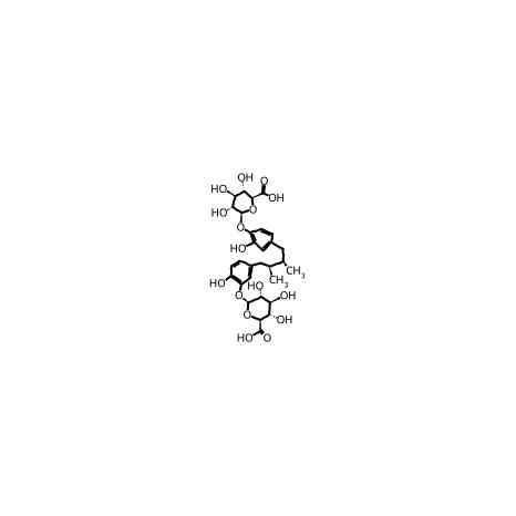 C[C@H](Cc1ccc(O[C@@H]2O[C@H](C(=O)O)[C@@H](O)[C@H](O)[C@H]2O)c(O)c1)[C@@H](C)Cc1ccc(O)c(O[C@@H]2O[C@H](C(=O)O)[C@@H](O)[C@H](O)[C@H]2O)c1